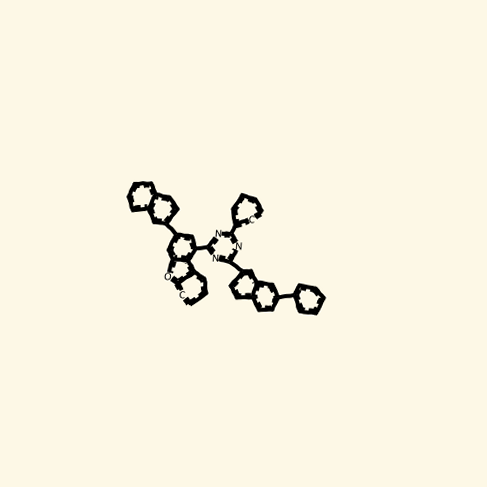 c1ccc(-c2ccc3ccc(-c4nc(-c5ccccc5)nc(-c5cc(-c6ccc7ccccc7c6)cc6oc7ccccc7c56)n4)cc3c2)cc1